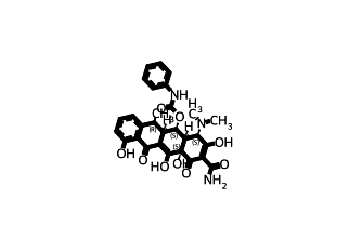 C[C@H]1c2cccc(O)c2C(=O)C2=C(O)[C@]3(O)C(=O)C(C(N)=O)=C(O)[C@@H](N(C)C)[C@@H]3[C@@H](OC(=O)Nc3ccccc3)[C@@H]21